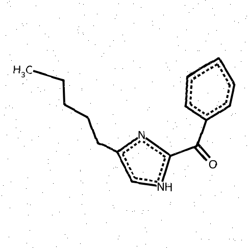 CCCCCc1c[nH]c(C(=O)c2ccccc2)n1